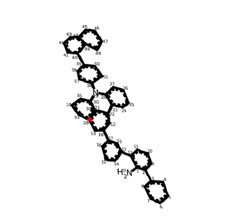 Nc1c(-c2ccccc2)cccc1-c1cccc(-c2cccc(-c3ccccc3N(c3ccccc3)c3ccc(-c4cccc5ccccc45)cc3)c2)c1